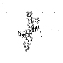 CC1(C)c2cc(-c3ccc4ccccc4c3)ccc2-c2nc3c(cc21)-c1ccc(N(c2ccccc2)c2ccc4ccccc4c2)cc1C3(C)C